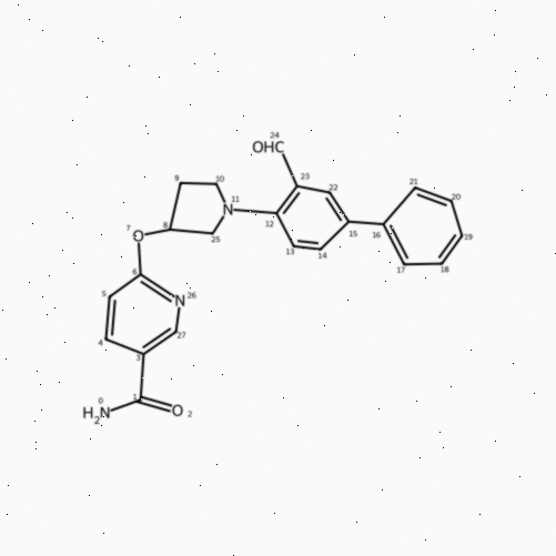 NC(=O)c1ccc(OC2CCN(c3ccc(-c4ccccc4)cc3C=O)C2)nc1